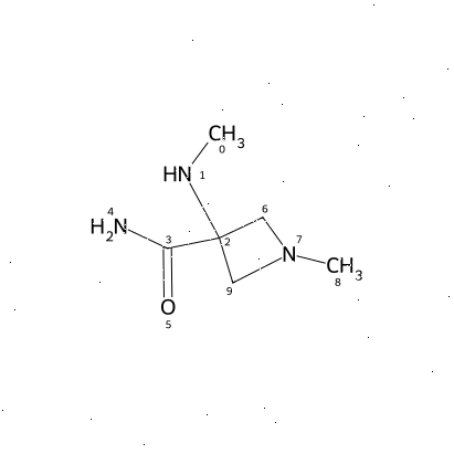 CNC1(C(N)=O)CN(C)C1